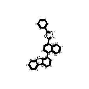 c1ccc(-c2nnc(-c3ccc(-c4cccc5c4oc4ccccc45)c4ccccc34)o2)cc1